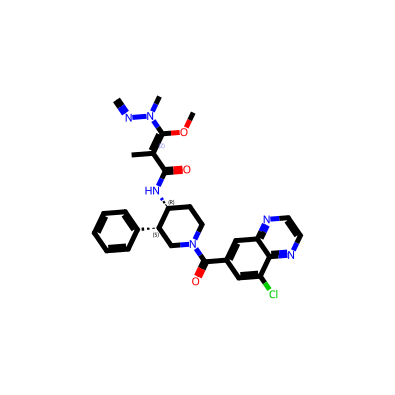 C=NN(C)/C(OC)=C(\C)C(=O)N[C@@H]1CCN(C(=O)c2cc(Cl)c3nccnc3c2)C[C@@H]1c1ccccc1